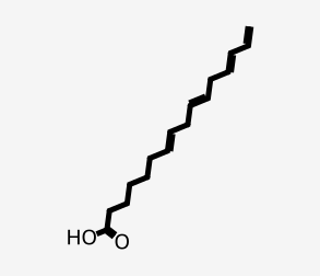 C=CC=CCC=CCC=CCCCCCC(=O)O